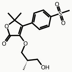 C[C@@H](CO)COC1=C(c2ccc(S(C)(=O)=O)cc2)C(C)(C)OC1=O